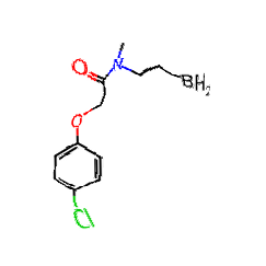 BCCN(C)C(=O)COc1ccc(Cl)cc1